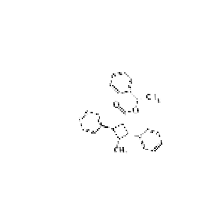 C[C@H](OC(=O)[C@H]1[C@H](c2ccccc2)[C@@H](C)[C@H]1c1ccccc1)c1ccccc1